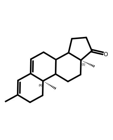 CC1=CC2=CCC3C(CC[C@]4(C)C(=O)CCC34)[C@@]2(C)CC1